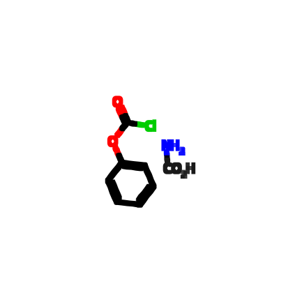 NC(=O)O.O=C(Cl)Oc1ccccc1